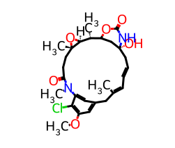 COc1cc2cc(c1Cl)N(C)C(=O)CC[C@]1(C)O[C@H]1[C@H](C)C1C[C@](O)(C/C=C/C=C(\C)C2)NC(=O)O1